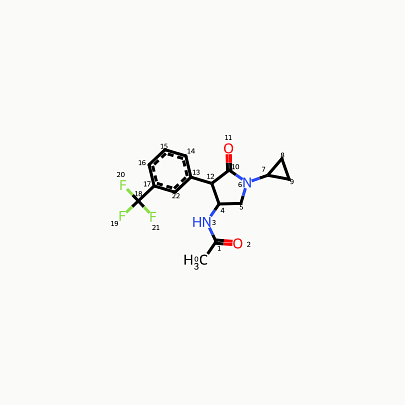 CC(=O)NC1CN(C2CC2)C(=O)C1c1cccc(C(F)(F)F)c1